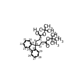 CC(C)(C)OC(=O)CCC1(CCC(=O)OC(C)(C)C)c2ccccc2-c2ccccc21